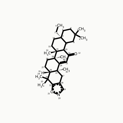 CC[C@]12CCC(C)(C)CC1C1C(=O)C=C3[C@@]4(C)Cc5cnoc5C(C)(C)[C@@H]4CC[C@@]3(C)[C@]1(C)CC2